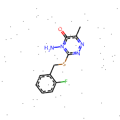 Cc1nnc(SCc2ccccc2F)n(N)c1=O